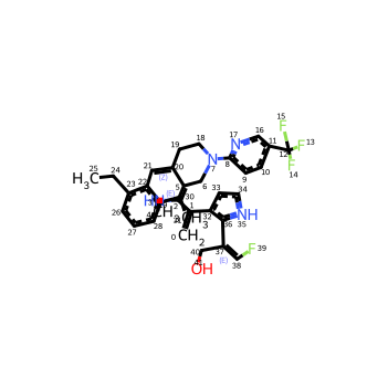 C=C(/C(NC)=C1\CN(c2ccc(C(F)(F)F)cn2)CC\C1=C\c1c(CC)cccc1CC)c1cc[nH]c1/C(=C\F)CO